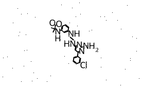 CC1(C)Nc2cc(NCCNc3cc(-c4cccc(Cl)c4)nc(N)n3)ccc2OC1=O